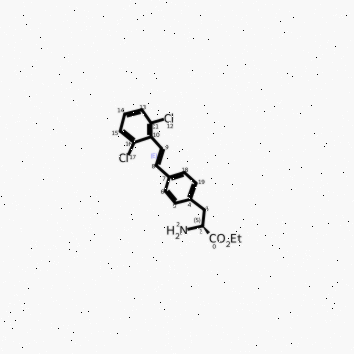 CCOC(=O)[C@@H](N)Cc1ccc(/C=C/c2c(Cl)cccc2Cl)cc1